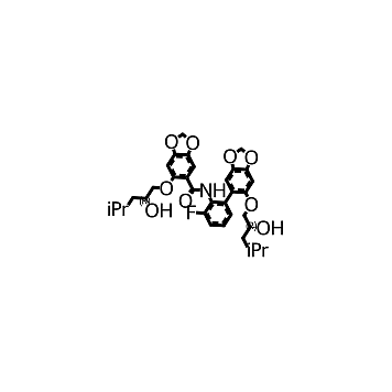 CC(C)C[C@@H](O)COc1cc2c(cc1C(=O)Nc1c(F)cccc1-c1cc3c(cc1OC[C@H](O)CC(C)C)OCO3)OCO2